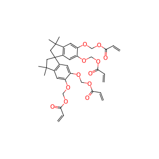 C=CC(=O)OCOc1cc2c(cc1OCOC(=O)C=C)C1(CC2(C)C)CC(C)(C)c2cc(OCOC(=O)C=C)c(OCOC(=O)C=C)cc21